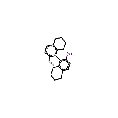 Pc1ccc2c(c1-c1c(P)ccc3c1CCCC3)CCCC2